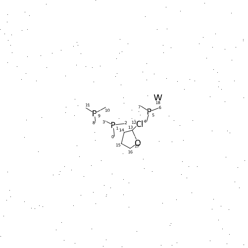 CP(C)C.CP(C)C.CP(C)C.ClC1CCCO1.[W]